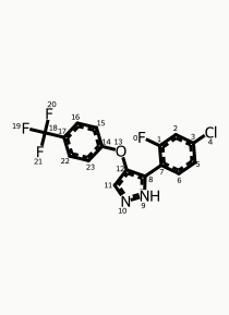 Fc1cc(Cl)ccc1-c1[nH]ncc1Oc1ccc(C(F)(F)F)cc1